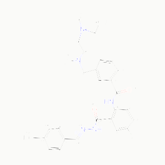 CCN(CC)CCN(C)Cc1cccc(C(=O)Nc2ccc(Cl)cc2C(=O)N/N=C/c2ccc(C)cc2)c1